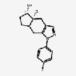 C[C@]12Cc3cnn(-c4ccc(F)cc4)c3CC1CC[C@@H]2O